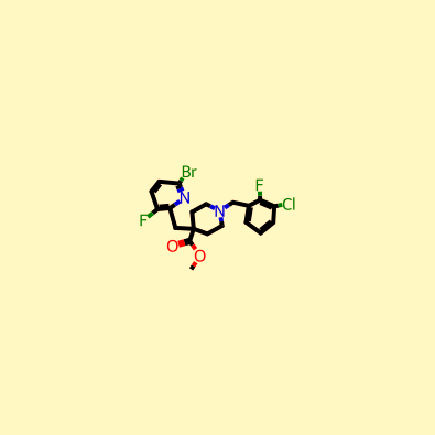 COC(=O)C1(Cc2nc(Br)ccc2F)CCN(Cc2cccc(Cl)c2F)CC1